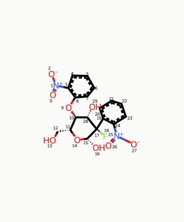 O=[N+]([O-])c1ccccc1O[C@@H]1[C@@H](CO)O[C@@H](O)[C@@](F)(c2ccccc2[N+](=O)[O-])[C@H]1O